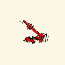 CCCCCCC(C)(I)SC1CC(=O)N(CCC(=O)NCCOCCOCCOCCOCCC(=O)N[C@H](CC(C)C)C(=O)N[C@@H](C)C(=O)N[C@@H](CCC(=O)O)C(=O)Nc2ccc(COC(=O)NCc3c4c(nc5cc6c(cc35)OCO6)-c3cc5c(c(=O)n3C4)COC(=O)[C@]5(O)CC)cc2)C1=O